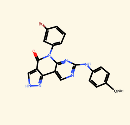 COc1ccc(Nc2ncc3c4n[nH]cc4c(=O)n(-c4cccc(Br)c4)c3n2)cc1